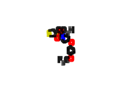 O=C(O)C1(S(=O)(=O)N2CCC(Oc3ccc(OC(F)(F)F)cc3)CC2)CCSCC1